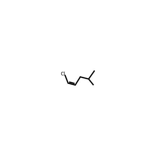 CC(C)C/C=C\Cl